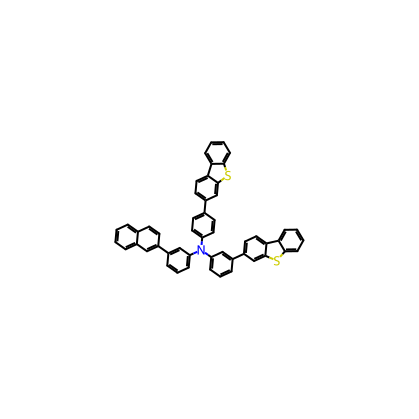 c1cc(-c2ccc3ccccc3c2)cc(N(c2ccc(-c3ccc4c(c3)sc3ccccc34)cc2)c2cccc(-c3ccc4c(c3)sc3ccccc34)c2)c1